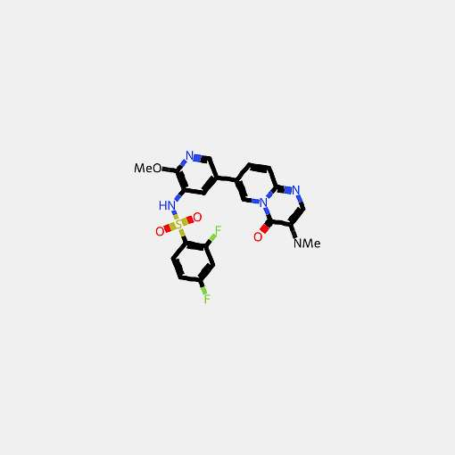 CNc1cnc2ccc(-c3cnc(OC)c(NS(=O)(=O)c4ccc(F)cc4F)c3)cn2c1=O